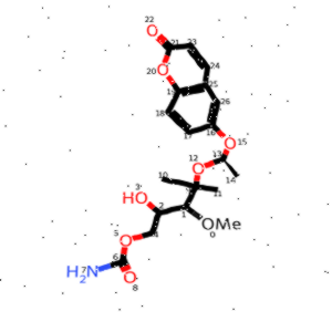 COC(C(O)COC(N)=O)C(C)(C)O[C@H](C)Oc1ccc2oc(=O)ccc2c1